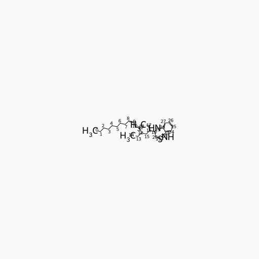 CCCCCCCC/C=C\CCC(CC)CC(CC)C1CSNc2ccccc2N1